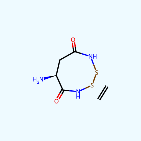 C=C.N[C@H]1CC(=O)NSSNC1=O